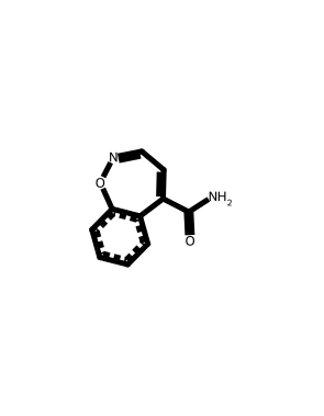 NC(=O)C1=CC=NOc2ccccc21